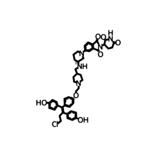 O=C1CCC(N2C(=O)c3ccc(N4CCC[C@H](NCC5CCN(CCOc6ccc(C(=C(CCCl)c7ccc(O)cc7)c7ccc(O)cc7)cc6)CC5)C4)cc3C2=O)C(=O)N1